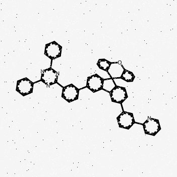 c1ccc(-c2nc(-c3ccccc3)nc(-c3cccc(-c4ccc5c(c4)-c4cc(-c6cccc(-c7ccccn7)c6)ccc4C54c5ccccc5Oc5ccccc54)c3)n2)cc1